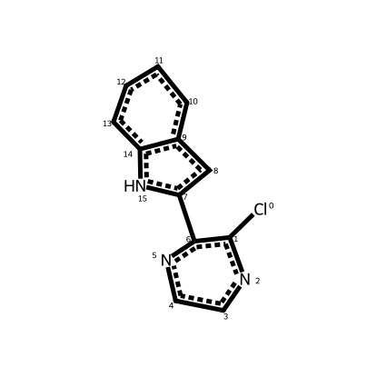 Clc1nccnc1-c1cc2ccccc2[nH]1